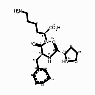 NCCCC[C@H](NC(=O)[C@H](Cc1ccccc1)NC(=O)[C@@H]1CCCN1)C(=O)O